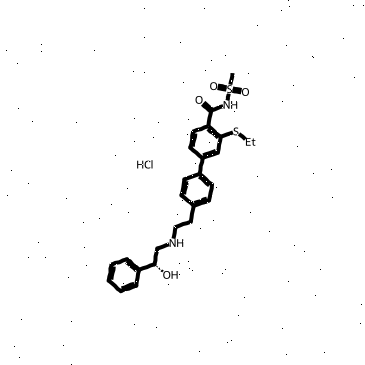 CCSc1cc(-c2ccc(CCNC[C@H](O)c3ccccc3)cc2)ccc1C(=O)NS(C)(=O)=O.Cl